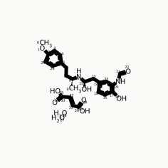 COc1ccc(CC[C@@H](C)N[C@H](O)Cc2ccc(O)c(NC=O)c2)cc1.O.O.O=C(O)/C=C/C(=O)O